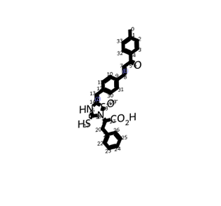 Cc1ccc(C(=O)/C=C/c2ccc(/C=C3/N[C@H](S)N(C(Cc4ccccc4)C(=O)O)[S+]3[O-])cc2)cc1